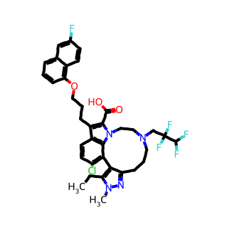 CCc1c2c(nn1C)CCCN(CC(F)(F)C(F)F)CCn1c(C(=O)O)c(CCCOc3cccc4cc(F)ccc34)c3ccc(Cl)c-2c31